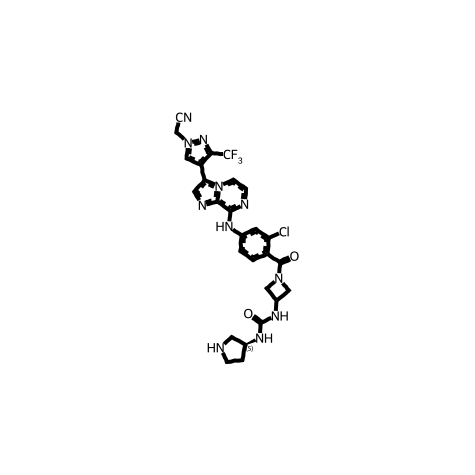 N#CCn1cc(-c2cnc3c(Nc4ccc(C(=O)N5CC(NC(=O)N[C@H]6CCNC6)C5)c(Cl)c4)nccn23)c(C(F)(F)F)n1